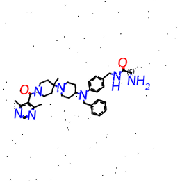 Cc1ncnc(C)c1C(=O)N1CCC(C)(N2CCC(N(Cc3ccccc3)c3ccc(CNC(=O)[C@H](C)N)cc3)CC2)CC1